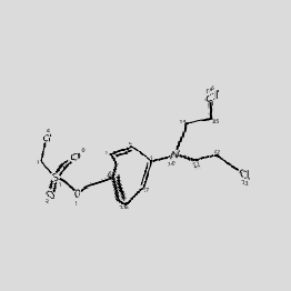 O=S(=O)(CCl)Oc1ccc(N(CCCl)CCCl)cc1